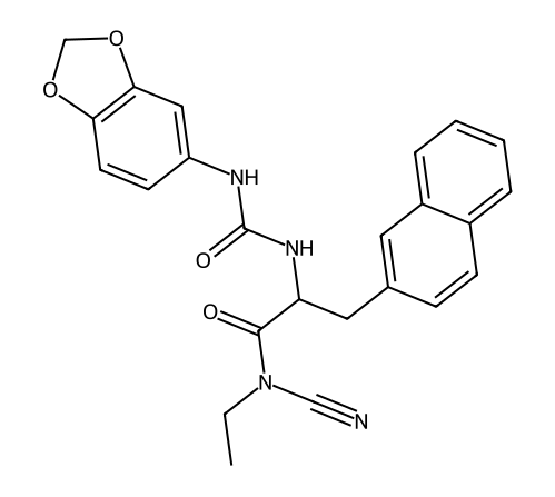 CCN(C#N)C(=O)C(Cc1ccc2ccccc2c1)NC(=O)Nc1ccc2c(c1)OCO2